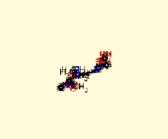 CC(C)(C)[Si](C)(C)O[C@H](CNCCCCCCCCCN1CCC(N(C(=O)O)c2ccccc2-c2ccc(O)c(F)c2)CC1)c1ccc(OCc2ccccc2)c(NS(C)(=O)=O)c1